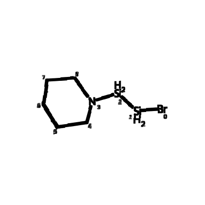 Br[SiH2][SiH2]N1CCCCC1